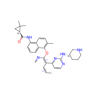 C=N/C(Oc1c(C)ccc2c(NC(=O)[C@H]3CC3(C)C)cccc12)=C(\C=C/C)c1ccnc(N[C@H]2CCCNC2)n1